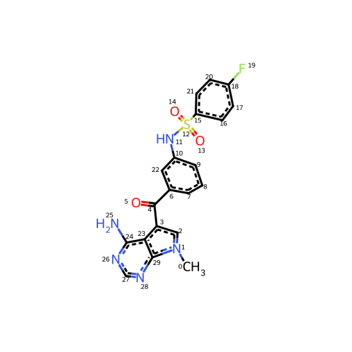 Cn1cc(C(=O)c2cccc(NS(=O)(=O)c3ccc(F)cc3)c2)c2c(N)ncnc21